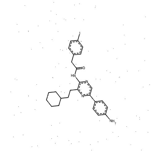 Nc1ccc(-c2cnc(NC(=O)Cc3ccc(I)cc3)c(CCC3CCCCC3)n2)cc1